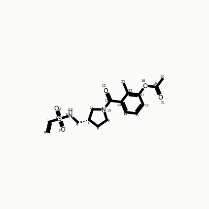 C=CS(=O)(=O)NC[C@H]1CCN(C(=O)c2cccc(OC(C)=O)c2C)C1